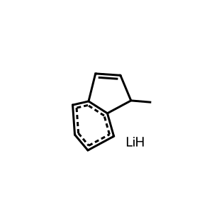 CC1C=Cc2ccccc21.[LiH]